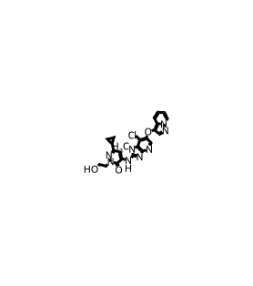 Cn1c(Nc2cc(C3CC3)nn(CCO)c2=O)nc2ncc(Oc3cnn4ccccc34)c(Cl)c21